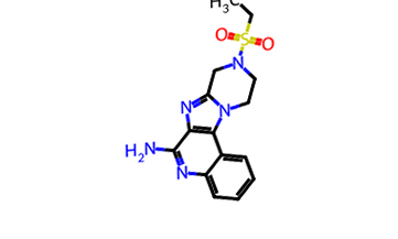 CCS(=O)(=O)N1CCn2c(nc3c(N)nc4ccccc4c32)C1